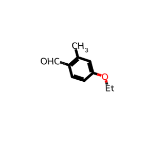 CCOc1ccc(C=O)c(C)c1